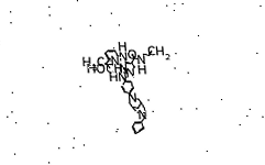 C=CCNC(=O)c1cnc(Nc2ccc(N3CC4CC(CN(Cc5ccccc5)C4)C3)cc2)nc1Nc1cccc(C(C)(C)O)n1